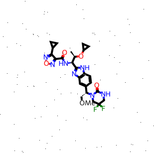 COC[C@H](c1ccc2[nH]c([C@@H](NC(=O)c3nonc3C3CC3)[C@@H](C)OC3CC3)nc2c1)N1CC(F)(F)CNC1=O